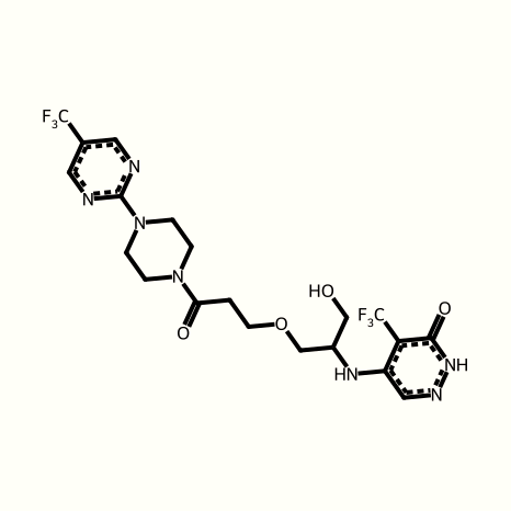 O=C(CCOCC(CO)Nc1cn[nH]c(=O)c1C(F)(F)F)N1CCN(c2ncc(C(F)(F)F)cn2)CC1